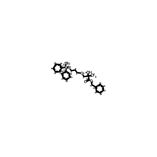 CC(C)(C)[Si](OCCCOCC(O)(C(=O)OCc1ccccc1)C(F)(F)F)(c1ccccc1)c1ccccc1